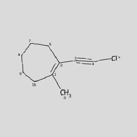 CC1=C(C#CCl)CCCCC1